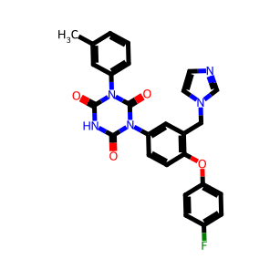 Cc1cccc(-n2c(=O)[nH]c(=O)n(-c3ccc(Oc4ccc(F)cc4)c(Cn4ccnc4)c3)c2=O)c1